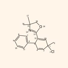 CC1(Cl)C=CC(c2ccccc2)C(C2=NC(C)(C)CO2)=C1